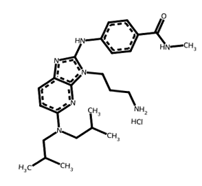 CNC(=O)c1ccc(Nc2nc3ccc(N(CC(C)C)CC(C)C)nc3n2CCCN)cc1.Cl